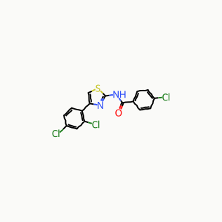 O=C(Nc1nc(-c2ccc(Cl)cc2Cl)cs1)c1ccc(Cl)cc1